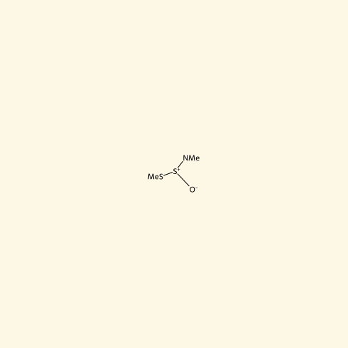 CN[S+]([O-])SC